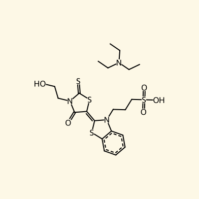 CCN(CC)CC.O=C1C(=C2Sc3ccccc3N2CCCS(=O)(=O)O)SC(=S)N1CCO